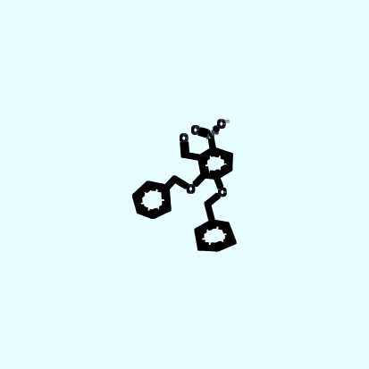 O=Cc1c([N+](=O)[O-])ccc(OCc2ccccc2)c1OCc1ccccc1